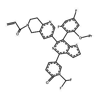 C=CC(=O)N1CCc2ncc(-c3nc(-c4ccc(=O)n(C(F)F)c4)c4ccsc4c3-c3c(F)cc(F)cc3OC(C)C)cc2C1